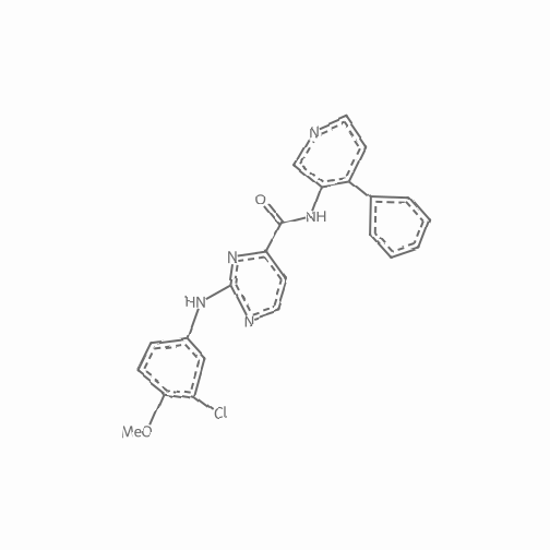 COc1ccc(Nc2nccc(C(=O)Nc3cnccc3-c3ccccc3)n2)cc1Cl